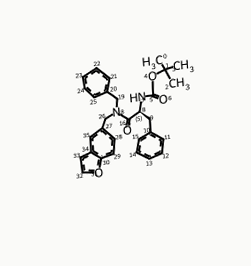 CC(C)(C)OC(=O)N[C@@H](Cc1ccccc1)C(=O)N(Cc1ccccc1)Cc1ccc2occc2c1